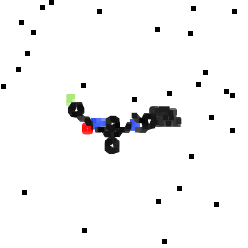 COc1cc2c(cc1OC)C(C)N(CCCCC(CCCNC(=O)CCc1ccc(F)cc1)(c1ccccc1)c1ccccc1)CC2